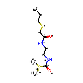 CC(=O)CCSCC(=O)NCCNC(=O)[SH](C)C